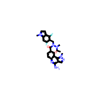 CC(=O)N(C)N(Cc1c(F)cc2c(ccn2C)c1F)C(=O)c1ccc2nc(N)c3cnn(C)c3c2c1